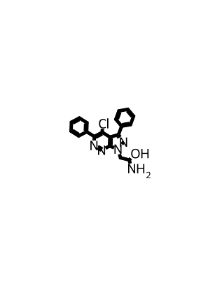 NC(O)Cn1nc(-c2ccccc2)c2c(Cl)c(-c3ccccc3)nnc21